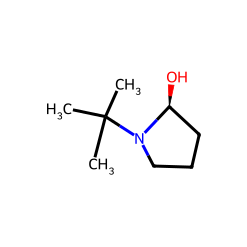 CC(C)(C)N1CCC[C@@H]1O